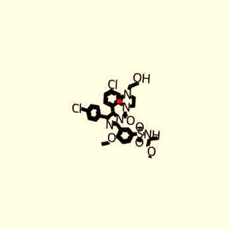 CCOc1ccc(S(=O)(=O)NC(C)COC)cc1C1=NC(c2ccc(Cl)cc2)C(c2ccc(Cl)cc2)N1C(=O)N1CCN(CCO)CC1